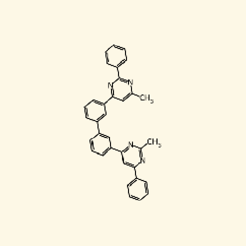 Cc1cc(-c2cccc(-c3cccc(-c4cc(-c5ccccc5)nc(C)n4)c3)c2)nc(-c2ccccc2)n1